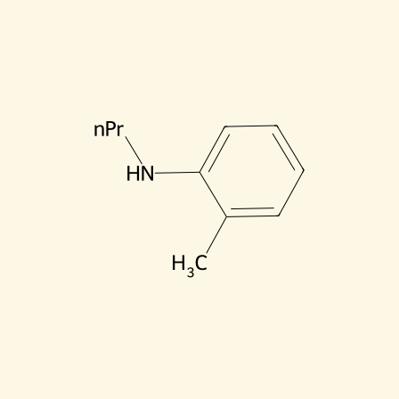 [CH2]CCNc1ccccc1C